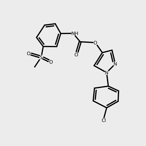 CS(=O)(=O)c1cccc(NC(=O)Oc2cnn(-c3ccc(Cl)cc3)c2)c1